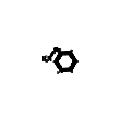 CC(C)(C)N.c1ccncc1